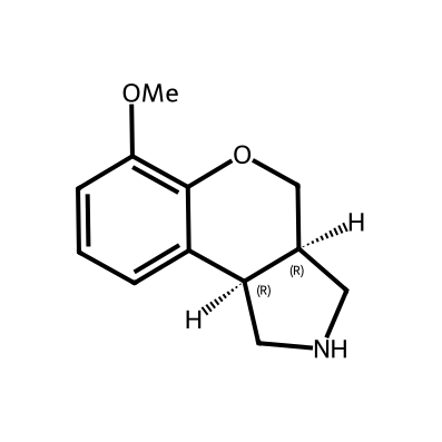 COc1cccc2c1OC[C@H]1CNC[C@@H]21